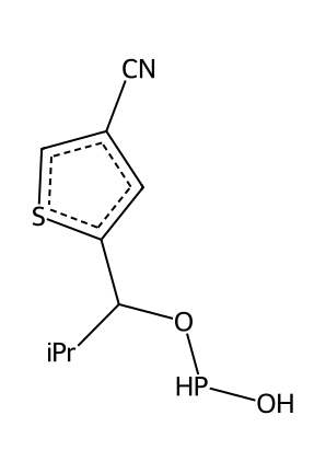 CC(C)C(OPO)c1cc(C#N)cs1